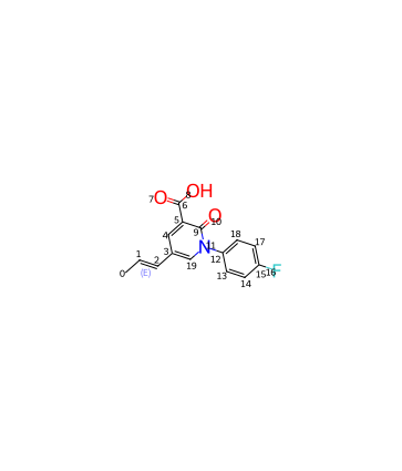 C/C=C/c1cc(C(=O)O)c(=O)n(-c2ccc(F)cc2)c1